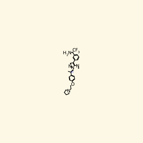 C=Nc1c(-c2cccc(C(N)C(F)(F)F)c2)cnn1/C=C(\C)c1ccc(OCCN2CCCC2)cc1